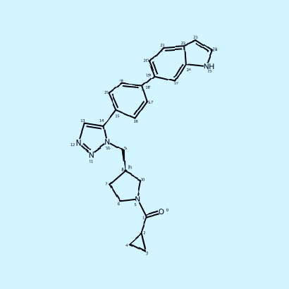 O=C(C1CC1)N1CC[C@@H](Cn2nncc2-c2ccc(-c3ccc4cc[nH]c4c3)cc2)C1